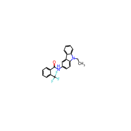 CCn1c2ccccc2c2cc(NC(=O)c3ccccc3C(F)(F)F)ccc21